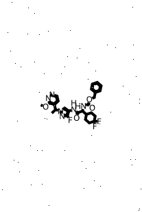 COc1nnccc1C(C)n1cc(NC(=O)C(NC(=O)OCc2ccccc2)C2CCC(F)(F)CC2)c(F)n1